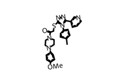 COc1ccc(N2CCN(C(=O)CSc3nnc(-c4cccnc4)n3-c3ccc(C)cc3)CC2)cc1